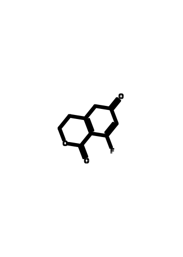 O=C1C=C(F)C2=C(CCOC2=O)C1